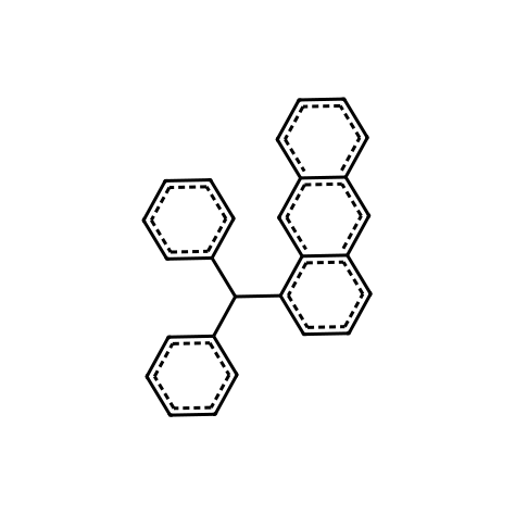 c1ccc(C(c2ccccc2)c2cccc3cc4ccccc4cc23)cc1